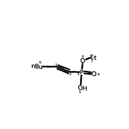 CCCCC#CP(=O)(O)OCC